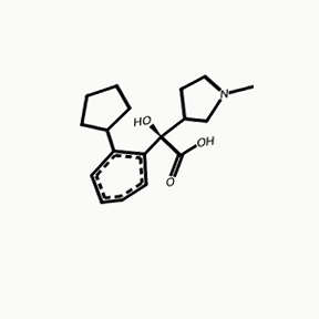 CN1CCC([C@](O)(C(=O)O)c2ccccc2C2CCCC2)C1